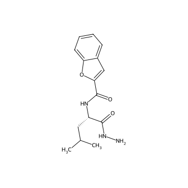 CC(C)C[C@H](NC(=O)c1cc2ccccc2o1)C(=O)NN